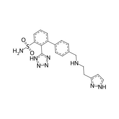 NS(=O)(=O)c1cccc(-c2ccc(CNCCc3cc[nH]n3)cc2)c1-c1nnn[nH]1